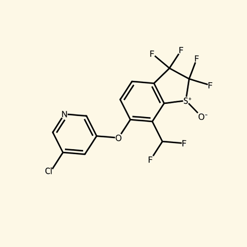 [O-][S+]1c2c(ccc(Oc3cncc(Cl)c3)c2C(F)F)C(F)(F)C1(F)F